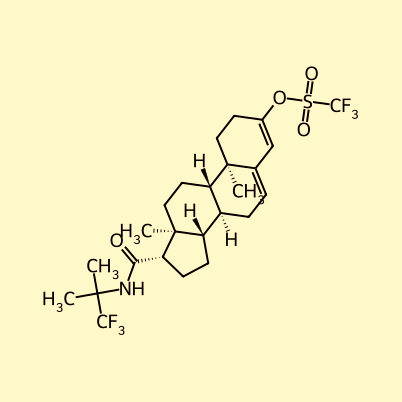 CC(C)(NC(=O)[C@H]1CC[C@H]2[C@@H]3CC=C4C=C(OS(=O)(=O)C(F)(F)F)CC[C@]4(C)[C@H]3CC[C@]12C)C(F)(F)F